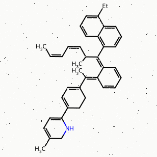 C/C=C\C=C/C(C)/C(c1cccc2c(CC)cccc12)=c1/cccc/c1=C(/C)C1=CC=C(C2=CC=C(C)CN2)CC1